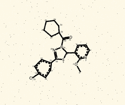 COc1ncccc1C1SC(c2ccc(Cl)cc2)=NN1C(=O)C1CCCCC1